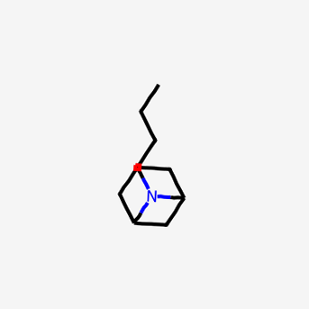 CCCCN1C2CCCC1C2